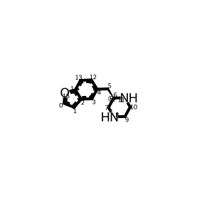 c1cc2cc(C[C@@H]3CNCCN3)ccc2o1